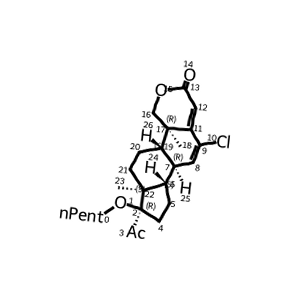 CCCCCO[C@]1(C(C)=O)CC[C@H]2[C@@H]3C=C(Cl)C4=CC(=O)OC[C@]4(C)[C@H]3CC[C@@]21C